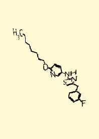 CCCCCCCCOc1ccc(Nc2nc(Cc3cccc(F)c3)cs2)cn1